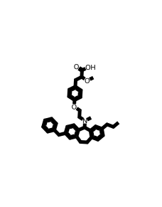 CCCc1ccc2c(c1)C(N(C)CCOc1ccc(CC(OC)C(=O)O)cc1)c1ccc(Cc3ccccc3)cc1CC2